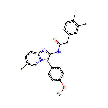 O=C(Cc1ccc(F)c(F)c1)Nc1nc2ccc(F)cn2c1-c1ccc(OC(F)(F)F)cc1